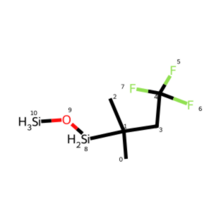 CC(C)(CC(F)(F)F)[SiH2]O[SiH3]